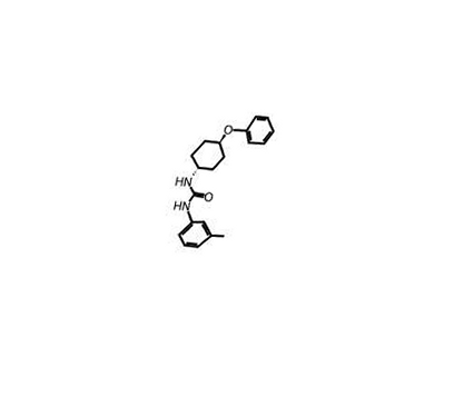 Cc1cccc(NC(=O)N[C@H]2CC[C@H](Oc3ccccc3)CC2)c1